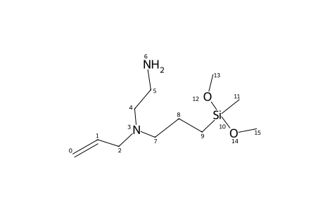 C=CCN(CCN)CCC[Si](C)(OC)OC